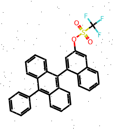 O=S(=O)(Oc1cc(-c2c3ccccc3c(-c3ccccc3)c3ccccc23)c2ccccc2c1)C(F)(F)F